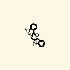 COc1ccccc1C(=O)N(C)Cc1cc2ccccc2n1C